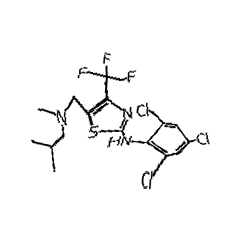 CC(C)CN(C)Cc1sc(Nc2c(Cl)cc(Cl)cc2Cl)nc1C(F)(F)F